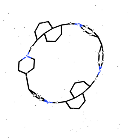 C1CC2CN3CCC(CC3)C3CCN(CC3)CC3CCCC4C(CCCC34)CN3CCC(CC3)C3CCN(CC3)CC3CCCC2C3C1